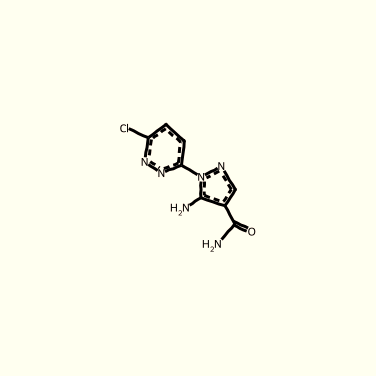 NC(=O)c1cnn(-c2ccc(Cl)nn2)c1N